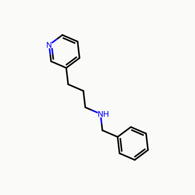 c1ccc(CNCCCc2cccnc2)cc1